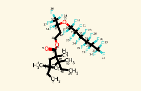 CCC(C)(C)CC(C)(C(=O)OCCC(F)(OC(F)(F)C(F)(F)C(F)(F)C(F)(F)C(F)(F)C(F)(F)F)C(F)(F)F)C(C)(C)CC